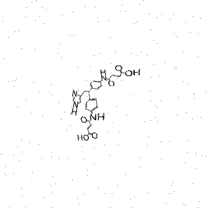 O=C(O)/C=C/C(=O)Nc1ccc(C(Cc2c[nH]cn2)c2ccc(NC(=O)/C=C/C(=O)O)cc2)cc1